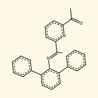 CC(=O)c1cccc(C(C)=Nc2c(-c3ccccc3)cccc2-c2ccccc2)n1